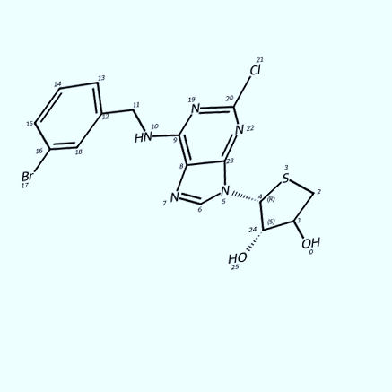 OC1CS[C@@H](n2cnc3c(NCc4cccc(Br)c4)nc(Cl)nc32)[C@H]1O